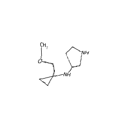 COCC1(NC2CCNC2)CC1